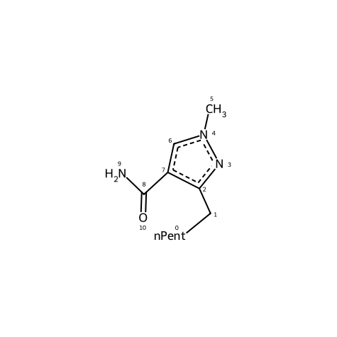 CCCCCCc1nn(C)cc1C(N)=O